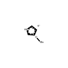 CC(C)(C)[O-].[K+].c1cc[nH]c1